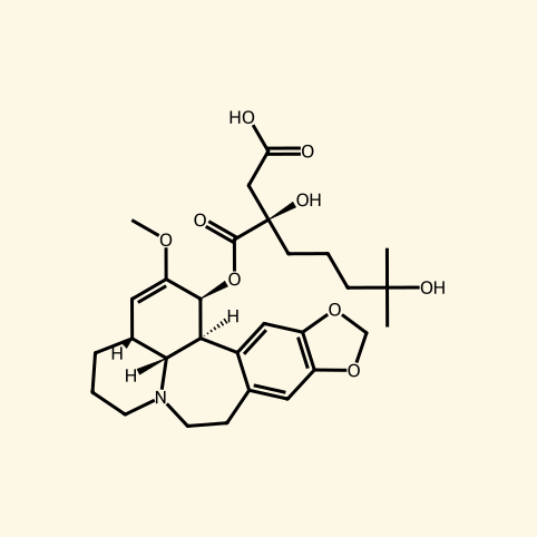 COC1=C[C@H]2CCCN3CCc4cc5c(cc4[C@@H]([C@@H]23)[C@@H]1OC(=O)[C@@](O)(CCCC(C)(C)O)CC(=O)O)OCO5